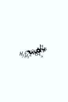 C\C=C/C=C(C)\C(C)=N\C=C(/C)c1ccc(NC(F)F)cc1